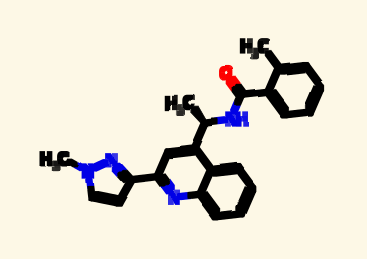 Cc1ccccc1C(=O)N[C@H](C)c1cc(-c2ccn(C)n2)nc2ccccc12